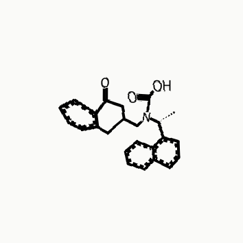 C[C@H](c1cccc2ccccc12)N(CC1CC(=O)c2ccccc2C1)C(=O)O